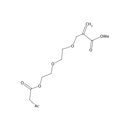 C=C(COCCOCCOC(=O)CC(C)=O)C(=O)OC